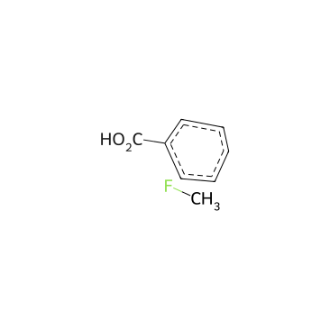 CF.O=C(O)c1ccccc1